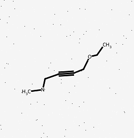 CCOCC#CC[N]C